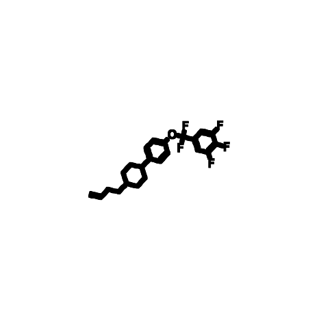 C=CCCC1CCC(c2ccc(OC(F)(F)c3cc(F)c(F)c(F)c3)cc2)CC1